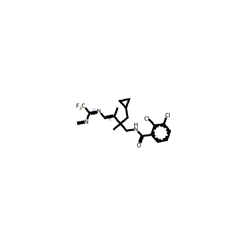 C=N/C(=N\C=C(/C)C(C)(CNC(=O)c1cccc(Cl)c1Cl)CC1CC1)C(F)(F)F